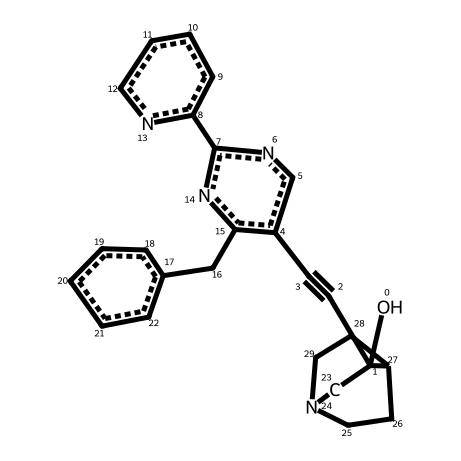 OC1(C#Cc2cnc(-c3ccccn3)nc2Cc2ccccc2)CN2CCC1CC2